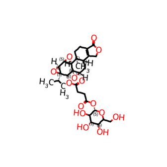 CC(C)[C@]12O[C@H]1[C@@H]1O[C@]13[C@]1(O[C@H]1C[C@H]1C4=C(CC[C@@]13C)C(=O)OC4)[C@@H]2OC(=O)CCC(=O)O[C@@H]1OC(CO)[C@@H](O)[C@H](O)C1O